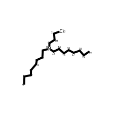 CCCCCCCCN(CCCCl)CCCCCCCC